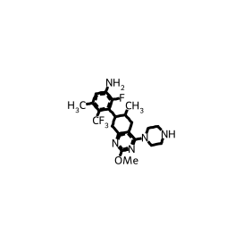 COc1nc2c(c(N3CCNCC3)n1)CC(C)C(c1c(F)c(N)cc(C)c1C(F)(F)F)C2